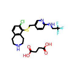 FC(F)(F)CNc1ccc(CSc2c(Cl)ccc3c2CCNCC3)cn1.O=C(O)CCC(=O)O